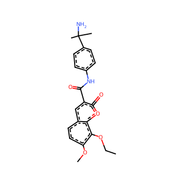 CCOc1c(OC)ccc2cc(C(=O)Nc3ccc(C(C)(C)N)cc3)c(=O)oc12